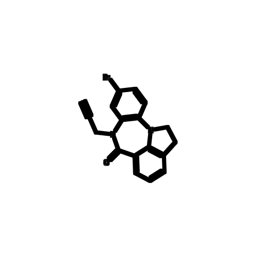 C#CCN1C(=O)c2cccc3c2N(CC3)c2ccc(Br)cc21